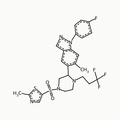 Cc1ncc(S(=O)(=O)N2CCN(CCC(F)(F)F)C(c3cc4cnn(-c5ccc(F)cc5)c4cc3C)C2)s1